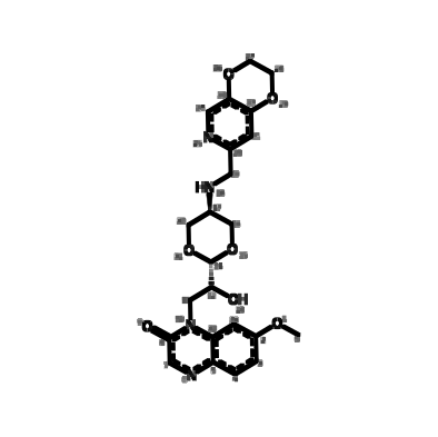 COc1ccc2ncc(=O)n(CC(O)[C@H]3OC[C@H](NCc4cc5c(cn4)OCCO5)CO3)c2c1